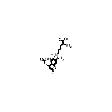 CC(=O)O.Cc1cc(=O)oc2cc(N)ccc12.NCCCC[C@H](N)C(=O)O